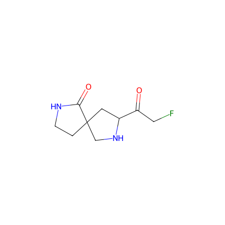 O=C(CF)C1CC2(CCNC2=O)CN1